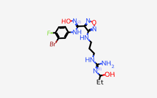 CCC(O)/N=C(\N)NCCCNc1nonc1/C(=N/O)Nc1ccc(F)c(Br)c1